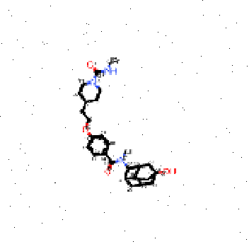 CC(C)NC(=O)N1CCC(CCOc2ccc(C(=O)N(C)C3C4CC5CC3CC(O)(C5)C4)cc2)CC1